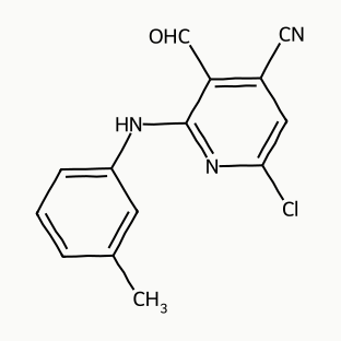 Cc1cccc(Nc2nc(Cl)cc(C#N)c2C=O)c1